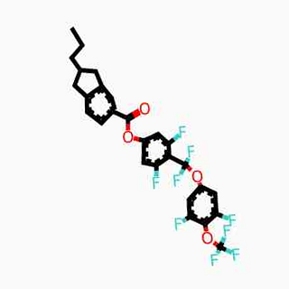 CCCC1Cc2ccc(C(=O)Oc3cc(F)c(C(F)(F)Oc4cc(F)c(OC(F)(F)F)c(F)c4)c(F)c3)cc2C1